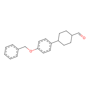 O=CC1CCC(c2ccc(OCc3ccccc3)cc2)CC1